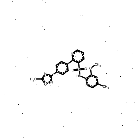 COc1nc(C)cnc1NS(=O)(=O)c1cccnc1-c1ccc(-c2noc(C)n2)cc1